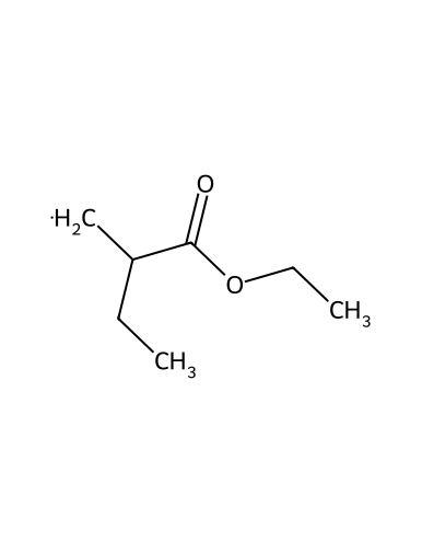 [CH2]C(CC)C(=O)OCC